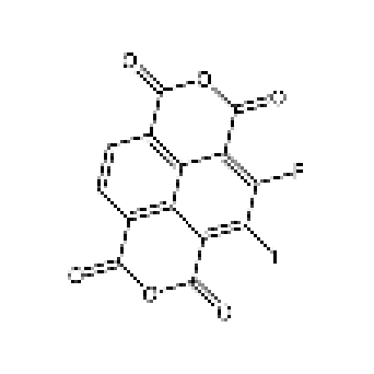 O=C1OC(=O)c2c(F)c(F)c3c4c(ccc1c24)C(=O)OC3=O